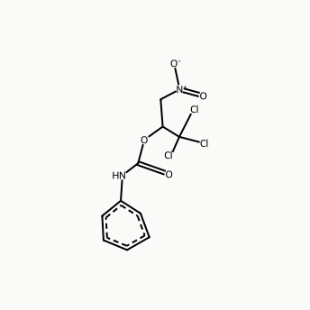 O=C(Nc1ccccc1)OC(C[N+](=O)[O-])C(Cl)(Cl)Cl